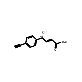 C#Cc1ccc([C@H](O)/C=C/C(=O)OC)cc1